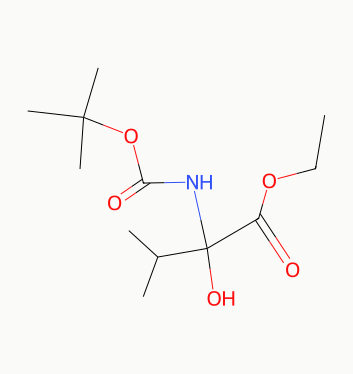 CCOC(=O)C(O)(NC(=O)OC(C)(C)C)C(C)C